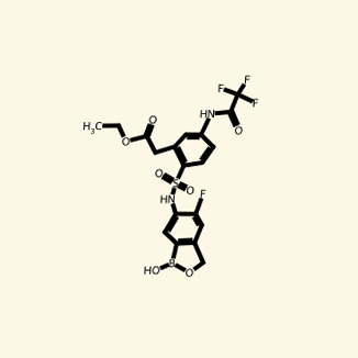 CCOC(=O)Cc1cc(NC(=O)C(F)(F)F)ccc1S(=O)(=O)Nc1cc2c(cc1F)COB2O